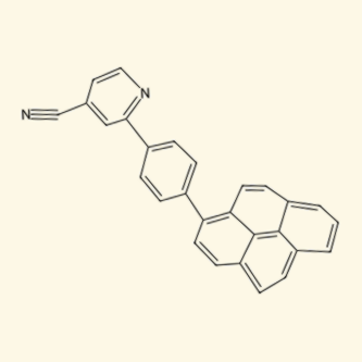 N#Cc1ccnc(-c2ccc(-c3ccc4ccc5cccc6ccc3c4c56)cc2)c1